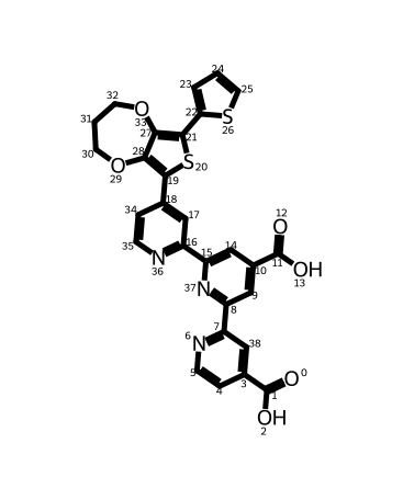 O=C(O)c1ccnc(-c2cc(C(=O)O)cc(-c3cc(-c4sc(-c5cccs5)c5c4OCCCO5)ccn3)n2)c1